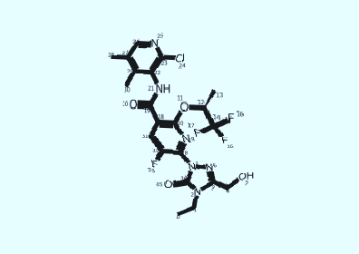 CCn1c(CO)nn(-c2nc(O[C@@H](C)C(F)(F)F)c(C(=O)Nc3c(Cl)ncc(C)c3C)cc2F)c1=O